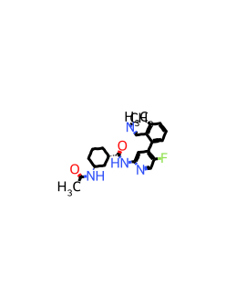 C/N=C\c1c(C)cccc1-c1cc(NC(=O)[C@H]2CCC[C@@H](NC(C)=O)C2)ncc1F